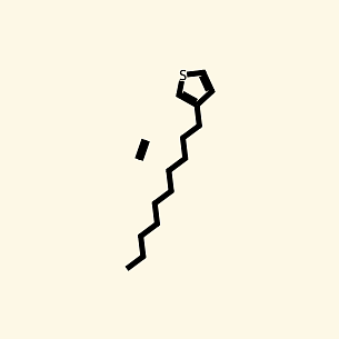 C=C.CCCCCCCCCCc1ccsc1